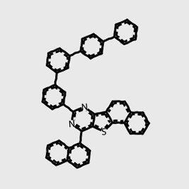 c1ccc(-c2ccc(-c3cccc(-c4cccc(-c5nc(-c6cccc7ccccc67)c6sc7c8ccccc8ccc7c6n5)c4)c3)cc2)cc1